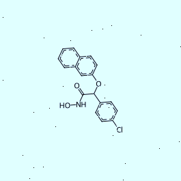 O=C(NO)C(Oc1ccc2ccccc2c1)c1ccc(Cl)cc1